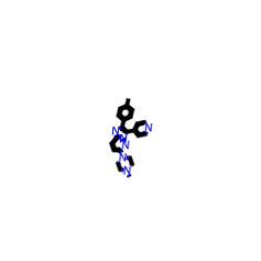 Cc1ccc(-c2nc3ccc(N4CCN(C)CC4)nn3c2-c2ccncc2)cc1